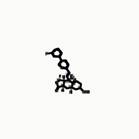 C[C@H]1OC(=O)[C@@H]2C[C@@H]3C[C@H](C=O)CC[C@H]3[C@](N)(/C=C/c3ccc(-c4cccc(F)c4)cn3)[C@H]12